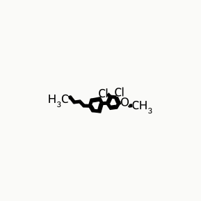 CCCCCc1ccc(-c2ccc(OCC)c(Cl)c2Cl)cc1